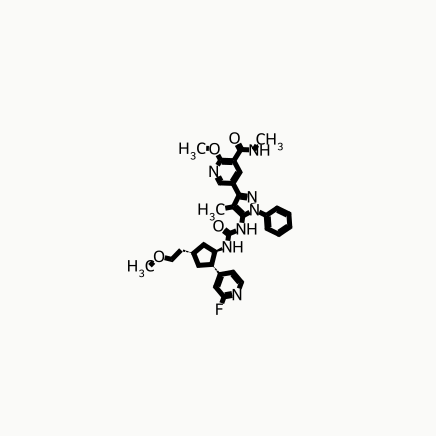 CNC(=O)c1cc(-c2nn(-c3ccccc3)c(NC(=O)N[C@@H]3C[C@@H](CCOC)C[C@H]3c3ccnc(F)c3)c2C)cnc1OC